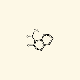 CC(=O)n1c(=O)ccc2ccccc21